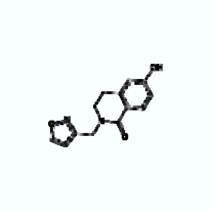 O=C1c2ccc(O)cc2CCN1Cc1ccon1